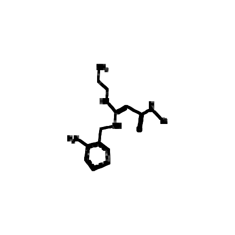 CCNC(=O)/C=C(/NCCN)NCc1ccccc1N